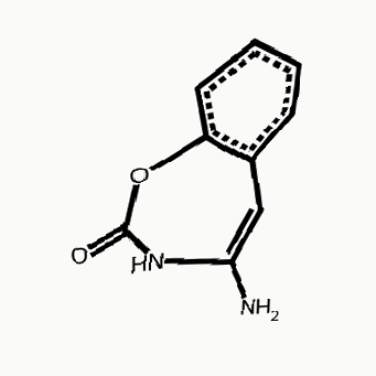 NC1=Cc2ccccc2OC(=O)N1